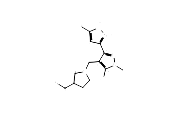 Cc1cc(-c2nn(C)c(Cl)c2CN2CCC(CN)C2)no1